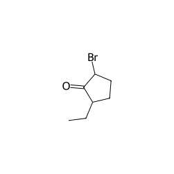 CCC1CCC(Br)C1=O